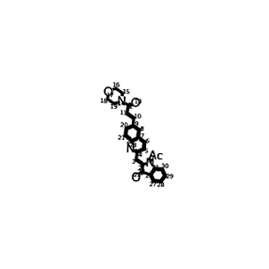 CC(=O)N1/C(=C\c2ccc3cc(/C=C/C(=O)N4CCOCC4)ccc3n2)C(=O)c2ccccc21